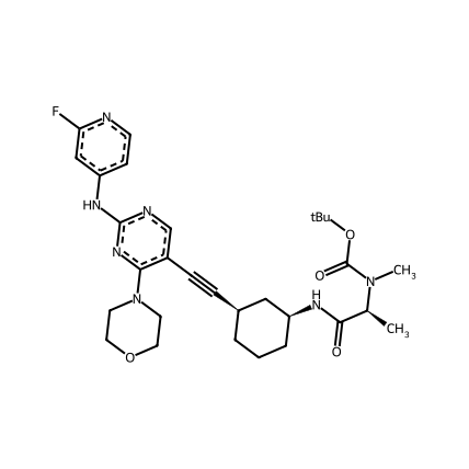 C[C@@H](C(=O)N[C@H]1CCC[C@@H](C#Cc2cnc(Nc3ccnc(F)c3)nc2N2CCOCC2)C1)N(C)C(=O)OC(C)(C)C